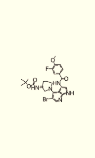 COc1ccc(C(=O)Nc2c[nH]c3ncc(Br)c(N4CCC[C@@H](NC(=O)OC(C)(C)C)C4)c23)cc1F